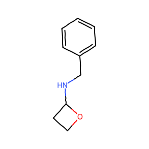 c1ccc(CNC2CCO2)cc1